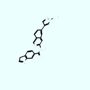 C=C(Nc1cc2cc(-c3cnn(C)c3)ccc2cn1)c1ccc2c(c1)N=CC2